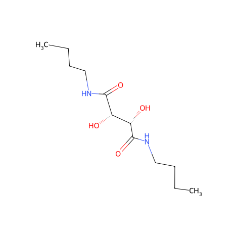 CCCCNC(=O)[C@@H](O)[C@H](O)C(=O)NCCCC